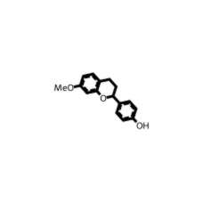 COc1ccc2c(c1)OC(c1ccc(O)cc1)CC2